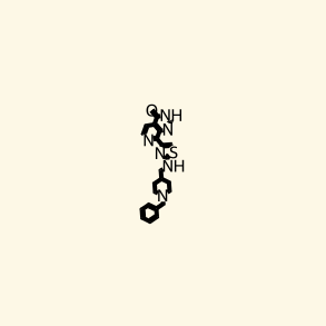 O=c1[nH]cnc2c(-c3csc(NCC4CCN(Cc5ccccc5)CC4)n3)nccc12